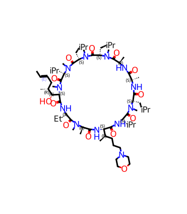 C/C=C/C[C@@H](C)[C@@H](O)[C@H]1C(=O)N[C@@H](CC)C(=O)N(C)[C@H](C)C(=O)N[C@@H]([C@H](C)CCCN2CCOCC2)C(=O)N[C@@H](C(C)C)C(=O)N(C)[C@@H](CC(C)C)C(=O)N[C@@H](C)C(=O)N[C@H](C)C(=O)N(C)[C@@H](CC(C)C)C(=O)N(C)[C@@H](CC(C)C)C(=O)N(C)[C@@H](C(C)C)C(=O)N1C